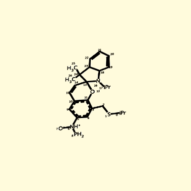 CC(C)SCc1cc([NH+]([O-])P)cc2c1OC1(C=C2)N(C(C)C)C2C=CC=CC2C1(C)C